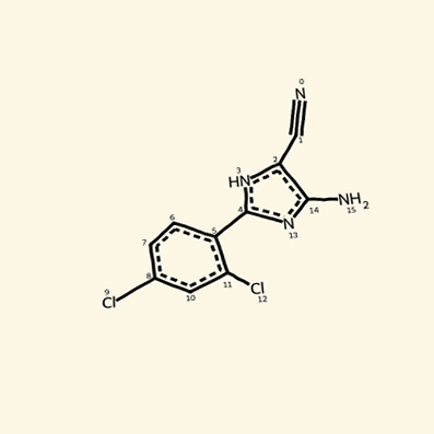 N#Cc1[nH]c(-c2ccc(Cl)cc2Cl)nc1N